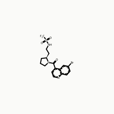 O=C(c1ccnc2ccc(Br)cc12)N1CCC[C@H]1CCNS(=O)(=O)C(F)(F)F